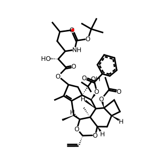 C=C[C@H]1O[C@H]2C[C@H]3CC[C@@]3(OC(C)=O)[C@H]3[C@H](OC(=O)c4ccccc4)[C@]4(C(C)(C)O)CC(OC(=O)[C@H](O)C(CC(C)C)NC(=O)OC(C)(C)C)C(C)=C4[C@H](C)[C@H](O1)[C@]23C